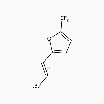 CC(C)(C)/C=C/c1ccc(C(F)(F)F)o1